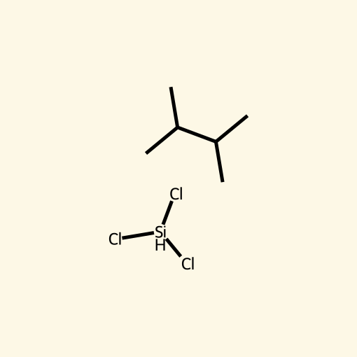 CC(C)C(C)C.Cl[SiH](Cl)Cl